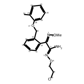 CON=C(C(N)=NOCCCl)c1ccccc1COc1ccccc1C